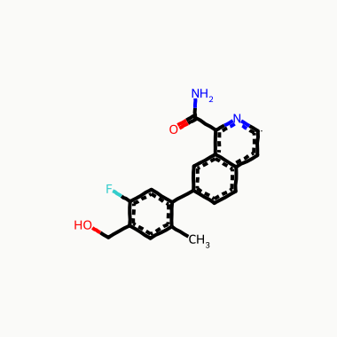 Cc1cc(CO)c(F)cc1-c1ccc2c[c]nc(C(N)=O)c2c1